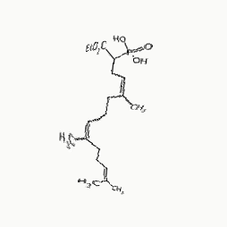 CCOC(=O)C(CC=C(C)CCC=C(C)CCC=C(C)C)P(=O)(O)O